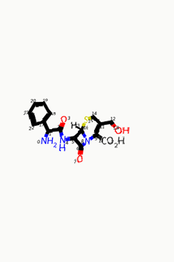 NC(C(=O)NC1C(=O)N2C(C(=O)O)=C(CO)CS[C@@H]12)c1ccccc1